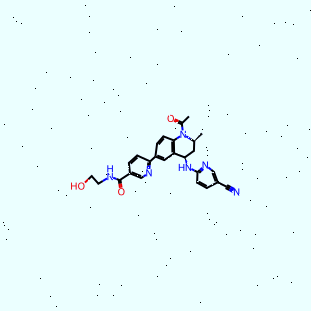 CC(=O)N1c2ccc(-c3ccc(C(=O)NCCO)cn3)cc2[C@H](Nc2ccc(C#N)cn2)C[C@@H]1C